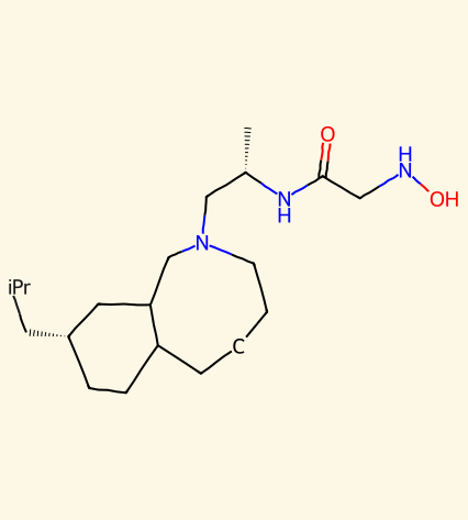 CC(C)C[C@H]1CCC2CCCCN(C[C@H](C)NC(=O)CNO)CC2C1